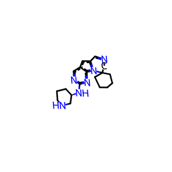 C1=NCC2(CCCCC2)n2c1cc1cnc(N[C@@H]3CCCNC3)nc12